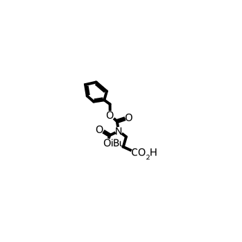 CC(C)COC(=O)N(CCC(=O)O)C(=O)OCc1ccccc1